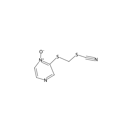 N#CSCSc1cncc[n+]1[O-]